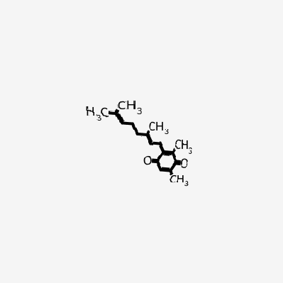 CC(C)=CCC/C(C)=C/CC1=C(C)C(=O)C(C)=CC1=O